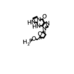 O=C1c2ncn([C@H]3CC[C@@H](COP)O3)c2NC2NC=CN12